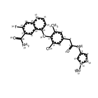 Cc1cc(CC(=O)Nc2cnn(C(C)(C)C)c2)cc(Cl)c1Oc1ccnc2cc(F)c(C(N)=O)cc12